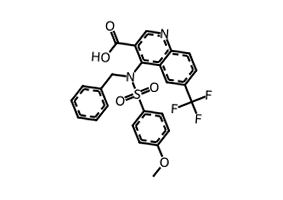 COc1ccc(S(=O)(=O)N(Cc2ccccc2)c2c(C(=O)O)cnc3ccc(C(F)(F)F)cc23)cc1